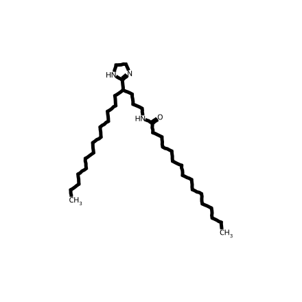 CCCCCCCCCCCCCCCC(=O)NCCCC(CCCCCCCCCCCCCC)C1=NCCN1